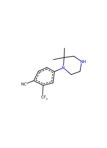 CC1(C)CNCCN1c1ccc(C#N)c(C(F)(F)F)c1